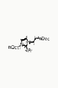 CCCCCCCCCCCCN1C=CN(CCCCCCCC)C1C(C)C